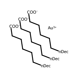 CCCCCCCCCCCCCCCC(=O)[O-].CCCCCCCCCCCCCCCC(=O)[O-].CCCCCCCCCCCCCCCC(=O)[O-].[Au+3]